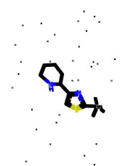 [CH3][Sn]([CH3])([CH3])[c]1nc(C2CCCCN2)cs1